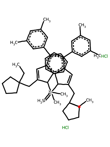 CCC1(CC2=Cc3c(-c4cc(C)cc(C)c4)cccc3[CH]2[Zr]([CH3])([CH3])(=[SiH2])[CH]2C(CC3(CC)CCCC3)=Cc3c(-c4cc(C)cc(C)c4)cccc32)CCCC1.Cl.Cl